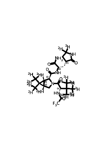 [2H]C1([2H])C[C@@H](C[C@H](NC(=O)[C@@H]2[C@@H]3[C@H](CN2C(=O)[C@@H](NC(=O)C(F)(F)F)C(C([2H])([2H])[2H])(C([2H])([2H])[2H])C([2H])([2H])[2H])C3(C([2H])([2H])[2H])C([2H])([2H])[2H])C(N)=O)C(=O)N1